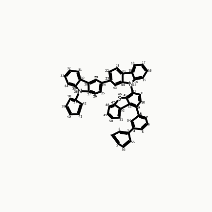 c1ccc(-c2cccc(-c3ccc(-n4c5ccccc5c5ccc(-c6ccc7c(c6)c6ccccc6n7-c6ccccc6)cc54)c4sc5ccccc5c34)c2)cc1